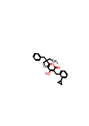 CCC(CC)(Cc1ccccc1)c1cc(O)c(Cc2ccccc2C2CC2)c(=O)o1